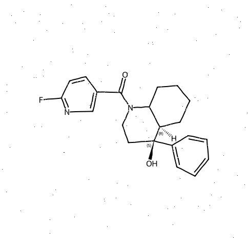 O=C(c1ccc(F)nc1)N1CC[C@@](O)(c2ccccc2)[C@@H]2CCCCC21